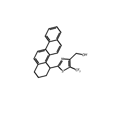 OCc1nc(C2CCCc3ccc4c(ccc5ccccc54)c32)sc1C(F)(F)F